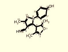 CC1=NOC(C)C1c1c(C=N)c(C)nn1-c1ccc(O)cc1